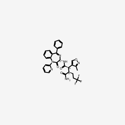 Cc1nocc1[C@H](C(=O)N[C@H]1N=C(c2ccccc2)c2ccccc2N(c2ccccn2)C1=O)[C@@H](CCC(F)(F)F)C(N)=O